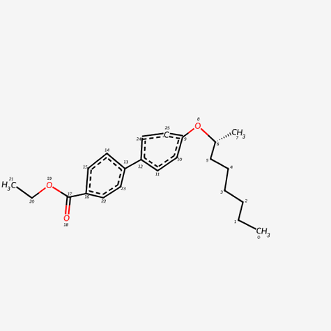 CCCCCC[C@@H](C)Oc1ccc(-c2ccc(C(=O)OCC)cc2)cc1